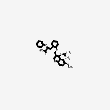 COc1ccc2ncc(COc3ccccc3C=C(Oc3ccccc3)C(=O)O)c(OC(C)C)c2c1